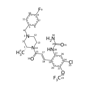 C[C@@H]1CN(Cc2ccc(F)cc2)CCN1C(=O)/C=C/c1cc(OC(F)(F)F)c(Cl)cc1NC(N)=O